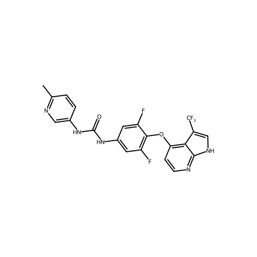 Cc1ccc(NC(=O)Nc2cc(F)c(Oc3ccnc4[nH]cc(C(F)(F)F)c34)c(F)c2)cn1